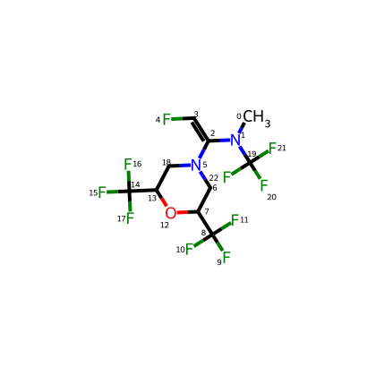 CN(/C(=C/F)N1CC(C(F)(F)F)OC(C(F)(F)F)C1)C(F)(F)F